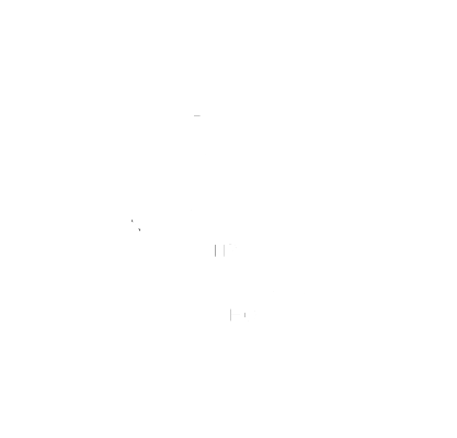 Cc1ccc(O)c(Pc2ccc(F)cc2CN(C)C)c1